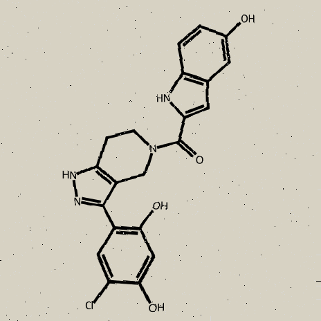 O=C(c1cc2cc(O)ccc2[nH]1)N1CCc2[nH]nc(-c3cc(Cl)c(O)cc3O)c2C1